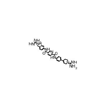 N=C(N)NCc1ccc(NC(=O)c2ccc(C(=O)Nc3ccc(C4=CCN(C(=N)N)CC4)cc3)nc2)cc1